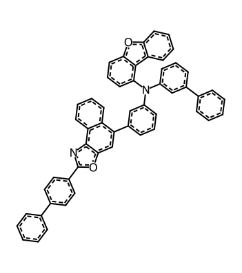 c1ccc(-c2ccc(-c3nc4c(cc(-c5cccc(N(c6cccc(-c7ccccc7)c6)c6cccc7oc8ccccc8c67)c5)c5ccccc54)o3)cc2)cc1